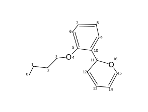 CCCCOc1ccccc1[C]1C=CC=CO1